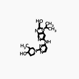 CC1CN(c2nccc(Nc3cc4c(cn3)nc(CO)n4C(C)C)n2)CCC1O